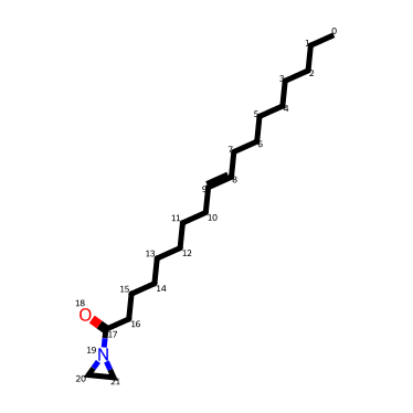 CCCCCCCCC=CCCCCCCCC(=O)N1CC1